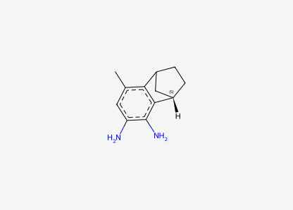 Cc1cc(N)c(N)c2c1C1CC[C@H]2C1